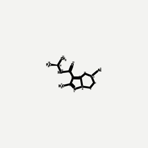 CC(=O)N1CCn2nc(C)c(C(=O)N[C@H](C)C(F)(F)F)c2C1